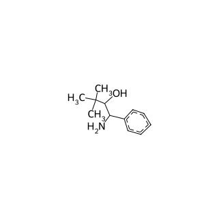 CC(C)(C)C(O)C(N)c1ccccc1